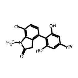 CCCc1cc(O)c(-c2ccc(Cl)c3c2CC(=O)N3C)c(O)c1